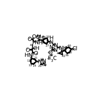 COC(=O)[C@H](CNC(=O)C(=O)Nc1cccc(-n2cnnc2)c1)NC(=O)c1ccc(Nc2nc(NC3(c4ccc(Cl)cc4)CC3)nc(OCC(F)(F)F)n2)cc1